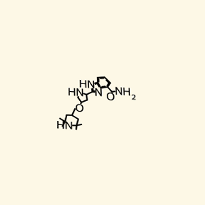 CC1(C)CC(COC2CNC(c3nc4c(C(N)=O)cccc4[nH]3)C2)CC(C)(C)N1